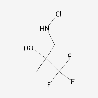 CC(O)(CNCl)C(F)(F)F